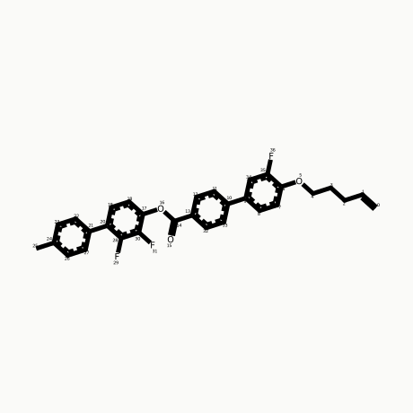 C=CCCCOc1ccc(-c2ccc(C(=O)Oc3ccc(-c4ccc(C)cc4)c(F)c3F)cc2)cc1F